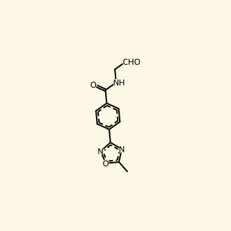 Cc1nc(-c2ccc(C(=O)NCC=O)cc2)no1